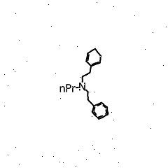 CCCN(CCC1=CCCC=C1)CCc1ccccc1